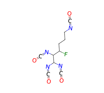 O=C=NCCCC(F)C(N=C=O)C(N=C=O)N=C=O